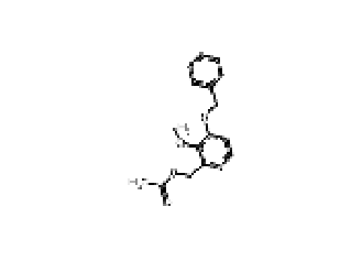 COc1c(OCc2ccccc2)ccnc1COC(C)=O